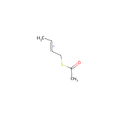 C/C=C/CSC(C)=O